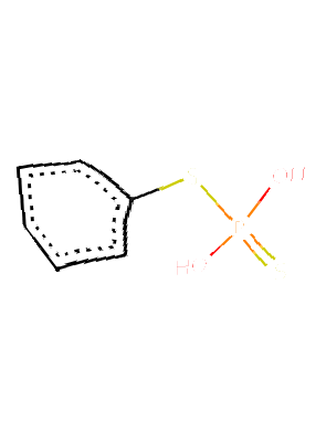 OP(O)(=S)Sc1ccccc1